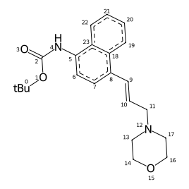 CC(C)(C)OC(=O)Nc1ccc(C=CCN2CCOCC2)c2ccccc12